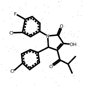 CC(C)C(=O)C1=C(O)C(=O)N(c2ccc(F)c(Cl)c2)C1c1ccc(Cl)cc1